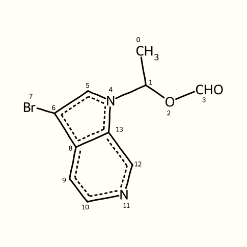 CC(OC=O)n1cc(Br)c2ccncc21